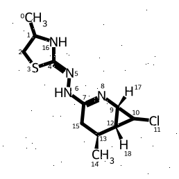 CC1CSC(=NNC2=N[C@@H]3C(Cl)[C@@H]3[C@@H](C)C2)N1